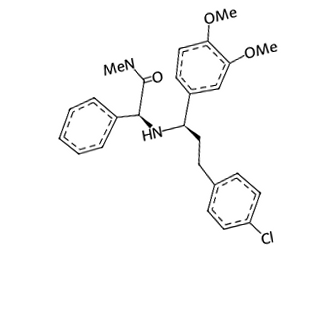 CNC(=O)[C@@H](N[C@H](CCc1ccc(Cl)cc1)c1ccc(OC)c(OC)c1)c1ccccc1